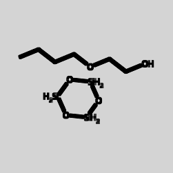 CCCCOCCO.O1[SiH2]O[SiH2]O[SiH2]1